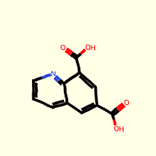 O=C(O)c1cc(C(=O)O)c2ncccc2c1